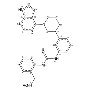 CC(=O)NCc1ccccc1NC(=O)Nc1cccc(C2CCCN(c3ncnc4[nH]ccc34)C2)c1